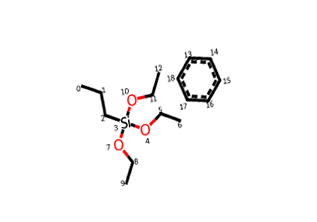 CCC[Si](OCC)(OCC)OCC.c1ccccc1